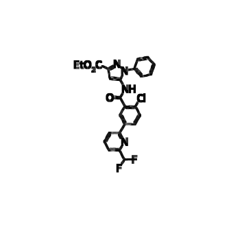 CCOC(=O)c1cc(NC(=O)c2cc(-c3cccc(C(F)F)n3)ccc2Cl)n(-c2ccccc2)n1